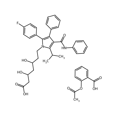 CC(=O)Oc1ccccc1C(=O)O.CC(C)c1c(C(=O)Nc2ccccc2)c(-c2ccccc2)c(-c2ccc(F)cc2)n1CCC(O)CC(O)CC(=O)O